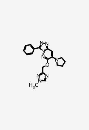 Cn1cnc(COc2nn3c(-c4ccccc4)nnc3cc2N2CCCC2)n1